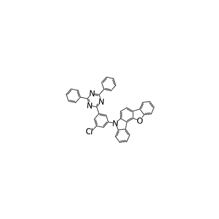 Clc1cc(-c2nc(-c3ccccc3)nc(-c3ccccc3)n2)cc(-n2c3ccccc3c3c4oc5ccccc5c4ccc32)c1